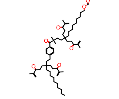 C=C(C)C(=O)CCC(CCCCCCCCCC)(CCC(=O)C(=C)C)CCc1ccc(C(=O)C(C)(C)CCC(CCCCCCCCCOC=O)(CCC(=O)C(=C)C)CCC(=O)C(=C)C)cc1